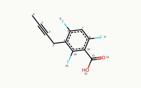 CC#CCc1c(F)cc(F)c(C(=O)O)c1F